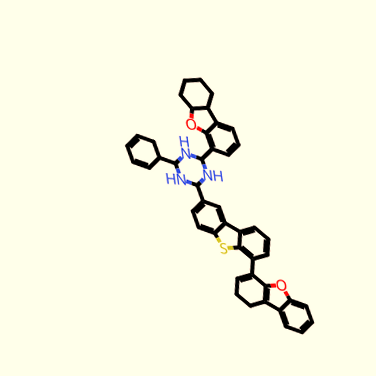 C1=CCC(C2NC(c3ccc4sc5c(C6=CCCc7c6oc6ccccc76)cccc5c4c3)NC(c3cccc4c3OC3CCCCC43)N2)C=C1